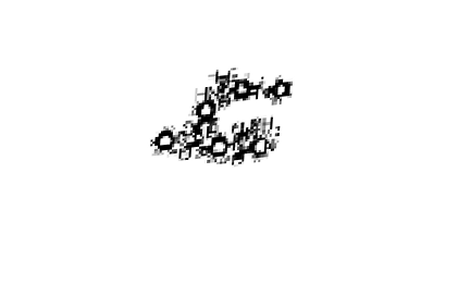 Cc1cc(CNC2CCCC2)ccc1S(=O)(=O)Nc1ccc(C(=O)N[C@@H](Cc2ccc(-n3c(=O)c4ccncc4n(C)c3=O)cc2)C(=O)OC2CCCCC2)c(F)c1